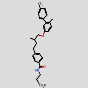 Cc1ccc(OCC(C)CCc2ccc(C(=O)NCCC(=O)O)cc2)cc1-c1ccc(C(F)(F)F)cc1